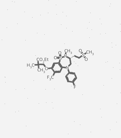 CCOC(=O)C(C)(C)COc1cc2c(cc1C(F)(F)F)N(c1ccc(F)cc1)C[C@@H](CCS(C)(=O)=O)N(C)S2(=O)=O